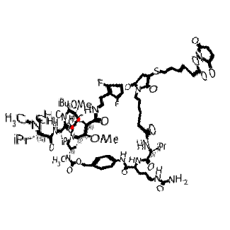 CC[C@H](C)C([C@@H](CC(=O)N1C[C@@H](N(C)C(=O)OCc2ccc(NC(=O)C(CCCNC(N)=O)NC(=O)[C@@H](NC(=O)CCCCCN3C(=O)CC(SCCCCCC(=O)ON4C(=O)CCC4=O)C3=O)C(C)C)cc2)C[C@H]1[C@H](OC)[C@@H](C)C(=O)NCCc1c(F)cccc1F)OC)N(C)C(=O)[C@@H](NC(=O)[C@H](C(C)C)N(C)C)C(C)C